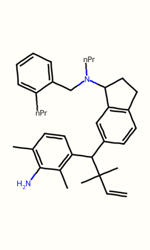 C=CC(C)(C)C(c1ccc2c(c1)C(N(CCC)Cc1ccccc1CCC)CC2)c1ccc(C)c(N)c1C